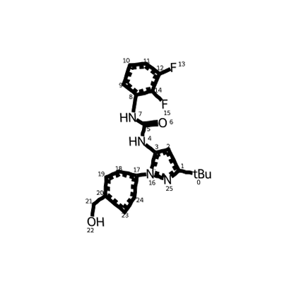 CC(C)(C)c1cc(NC(=O)Nc2cccc(F)c2F)n(-c2ccc(CO)cc2)n1